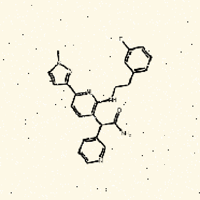 Cn1ccc(-c2ccc(C(C(N)=O)c3cccnc3)c(NCCc3cccc(F)c3)n2)n1